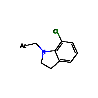 CC(=O)CN1CCc2cccc(Cl)c21